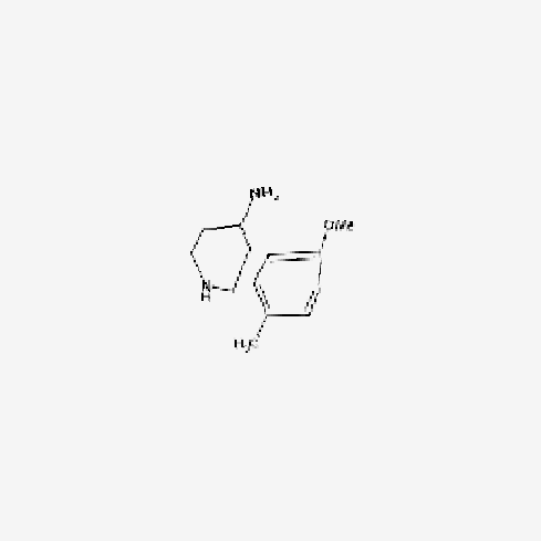 COc1ccc(C)cc1.NC1CCNCC1